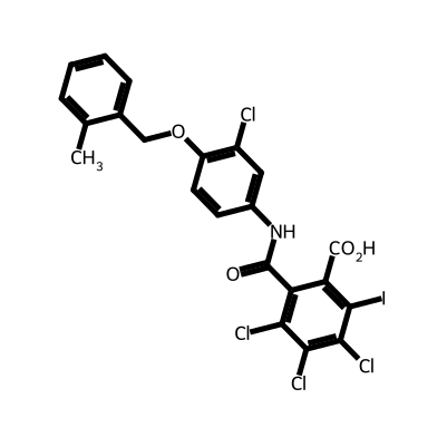 Cc1ccccc1COc1ccc(NC(=O)c2c(Cl)c(Cl)c(Cl)c(I)c2C(=O)O)cc1Cl